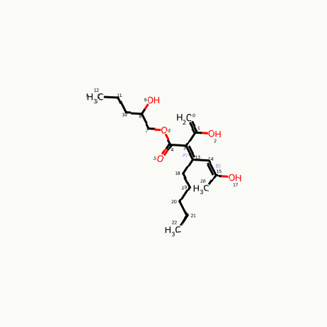 C=C(O)/C(C(=O)OCC(O)CCC)=C(\C=C(/C)O)CCCCC